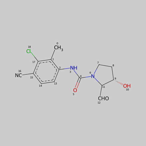 Cc1c(NC(=O)N2CC[C@H](O)C2C=O)ccc(C#N)c1Cl